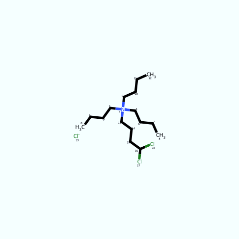 CCCC[N+](CCCC)(CCCC)CCCC(Cl)Cl.[Cl-]